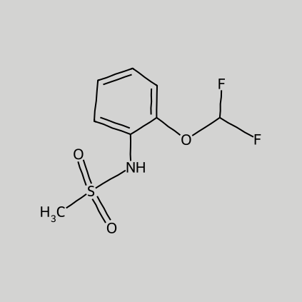 CS(=O)(=O)Nc1ccccc1OC(F)F